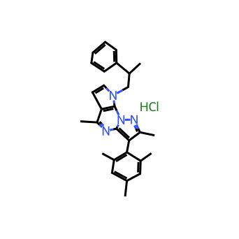 Cc1cc(C)c(-c2c(C)nn3c2nc(C)c2ccn(CC(C)c4ccccc4)c23)c(C)c1.Cl